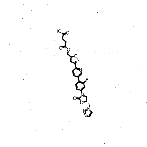 O=C(O)CCC(=O)OCC1CC(c2ccc(-c3ccc(N4C[C@H](Cn5ccnn5)OC4=O)cc3F)cn2)=NO1